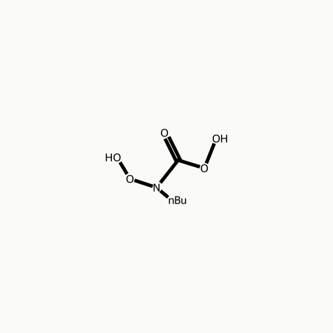 CCCCN(OO)C(=O)OO